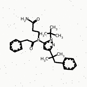 CC(C)(Cc1ccccc1)c1cc(N(CCC(N)=O)C(=O)Cc2ccccc2)n(C(C)(C)C)n1